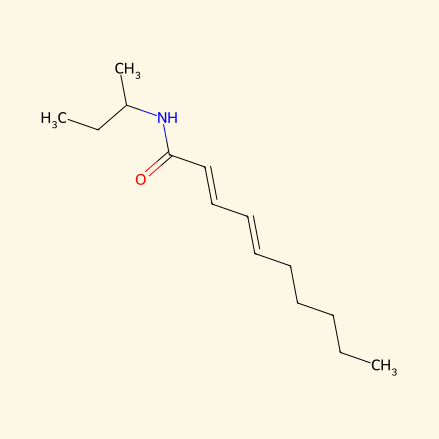 CCCCCC=CC=CC(=O)NC(C)CC